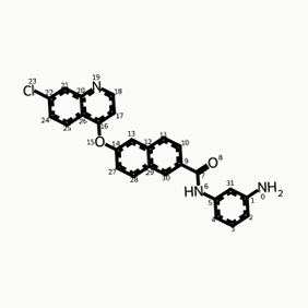 Nc1cccc(NC(=O)c2ccc3cc(Oc4ccnc5cc(Cl)ccc45)ccc3c2)c1